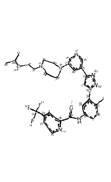 Cc1ncc(NC(=O)c2cc(C(F)(F)F)ccn2)cc1-n1cc(-c2cncc(N3CCN(CCOC(C)C)CC3)c2)nn1